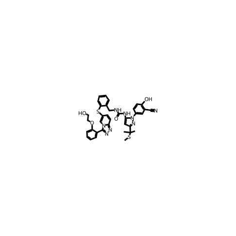 CSC(C)(C)c1cc(NC(=O)NCc2ccccc2Sc2ccc3nnc(-c4ccccc4OCCO)n3c2)n(-c2ccc(O)c(C#N)c2)n1